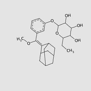 CCC1OC(Oc2cccc(C(OC)=C3C4CC5CC(C4)CC3C5)c2)C(O)C(O)C1O